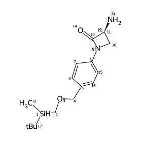 C[SiH](COCc1ccc(N2C[C@H](N)C2=O)cc1)C(C)(C)C